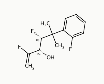 C=C(F)[C@@H](O)[C@H](F)C(C)(C)c1ccccc1F